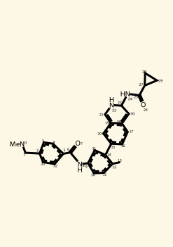 CNCc1ccc(C(=O)Nc2ccc(C)c(-c3ccc4c(c3)=CNC(NC(=O)C3CC3)C=4)c2)cc1